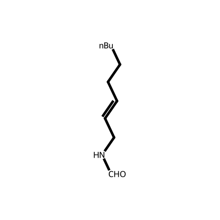 CCCCCCC=CCNC=O